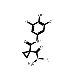 CN(C)C(=O)C1(C(=O)Nc2cc(Cl)c(O)c(Cl)c2)CC1